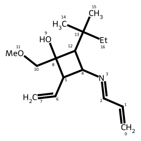 C=CC=NC1C(C=C)C(O)(COC)C1C(C)(C)CC